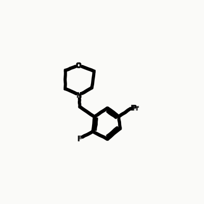 CC(C)c1ccc(F)c(CN2CCOCC2)c1